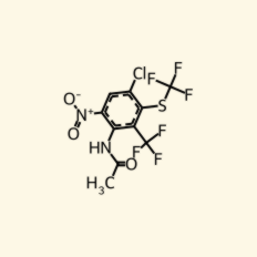 CC(=O)Nc1c([N+](=O)[O-])cc(Cl)c(SC(F)(F)F)c1C(F)(F)F